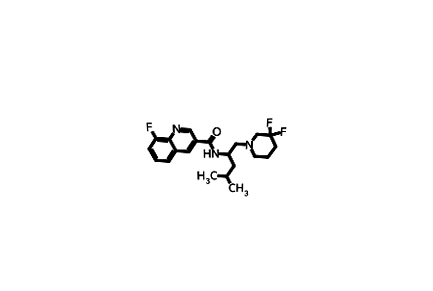 CC(C)CC(CN1CCCC(F)(F)C1)NC(=O)c1cnc2c(F)cccc2c1